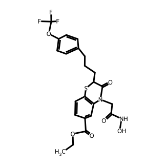 CCOC(=O)c1ccc2c(c1)N(CC(=O)NO)C(=O)C(CCCc1ccc(OC(F)(F)F)cc1)S2